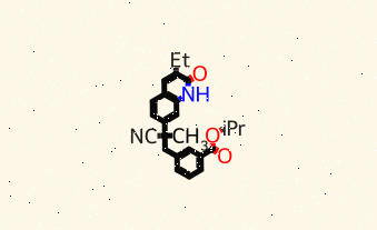 CCc1cc2ccc(C(C)(C#N)Cc3cccc(C(=O)OC(C)C)c3)cc2[nH]c1=O